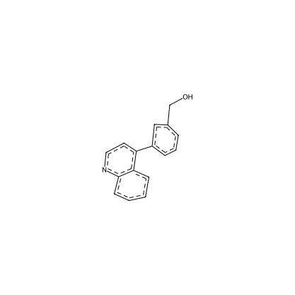 OCc1cccc(-c2ccnc3ccccc23)c1